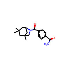 CC1(C)CC2CC(C)(CN2C(=O)c2ccc(C(N)=O)cc2)C1